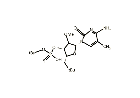 COC1[C@@H](OP(O)(=S)OC(C)(C)C)[C@@H](CC(C)(C)C)O[C@H]1n1cc(C)c(N)nc1=O